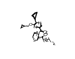 NC(=O)[C@H]1CSCCN1C(=O)c1cnc(C2CC2)c(OCC2CC2)n1